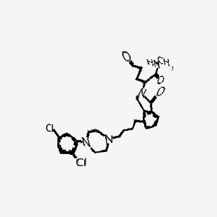 CNC(=O)C(CCC=O)N1Cc2c(CCCCN3CCN(c4cc(Cl)ccc4Cl)CC3)cccc2C1=O